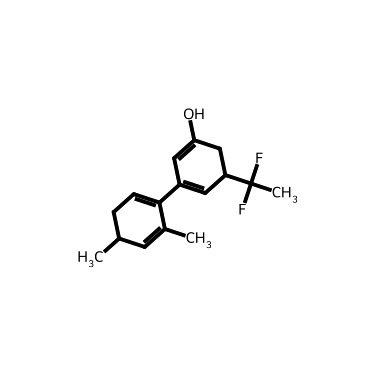 CC1=CC(C)CC=C1C1=CC(C(C)(F)F)CC(O)=C1